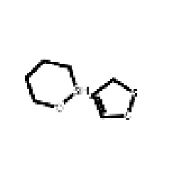 C1=CSSC1.C1CC[SiH2]OC1